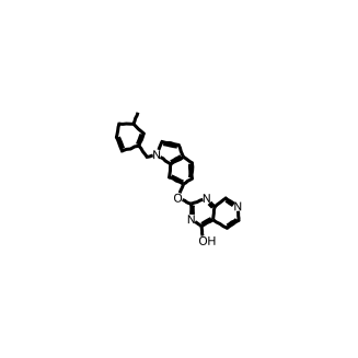 CC1C=C(Cn2ccc3ccc(Oc4nc(O)c5ccncc5n4)cc32)C=CC1